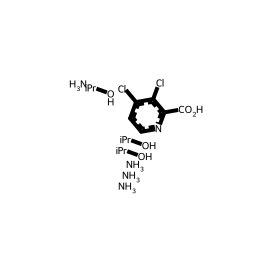 CC(C)O.CC(C)O.CC(C)O.N.N.N.N.O=C(O)c1nccc(Cl)c1Cl